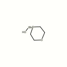 C1COCCO1.CC(C)(C)O